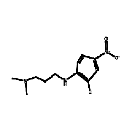 CN(C)CCCNc1ccc([N+](=O)[O-])cc1F